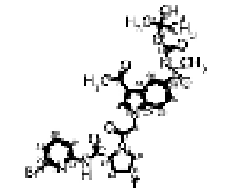 CC(=O)c1cn(CC(=O)N2C[C@H](F)C[C@H]2C(=O)Nc2cccc(Br)n2)c2ccc(S(C)(=O)=NC(=O)OC(C)(C)C)cc12